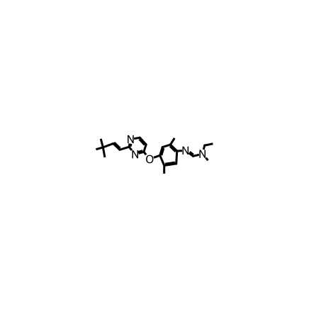 CCN(C)C=Nc1cc(C)c(Oc2ccnc(/C=C/C(C)(C)C)n2)cc1C